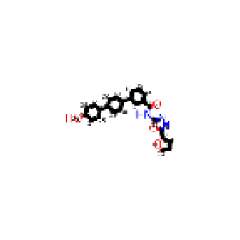 O=C(Nc1nnc(-c2ccco2)o1)c1cccc(-c2ccc(-c3ccc(O)cc3)cc2)c1